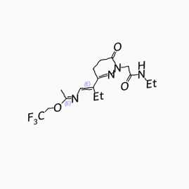 CCNC(=O)CN1N=C(/C(=C/N=C(\C)OCC(F)(F)F)CC)CCC1=O